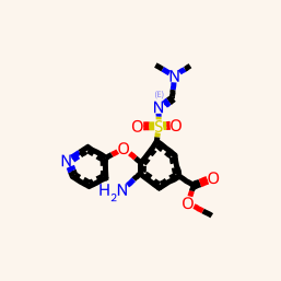 COC(=O)c1cc(N)c(Oc2cccnc2)c(S(=O)(=O)/N=C/N(C)C)c1